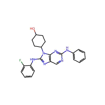 OC1CCC(n2c(Nc3ccccc3F)nc3cnc(Nc4ccccc4)nc32)CC1